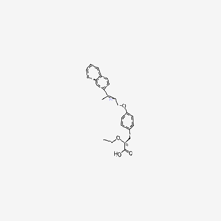 CCO[C@@H](Cc1ccc(OC/C=C(\C)c2ccc3ccccc3c2)cc1)C(=O)O